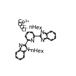 CCCCCCn1c(-c2cccc(-c3nc4ccccc4n3CCCCCC)n2)nc2ccccc21.[Cl-].[Cl-].[Cl-].[Co+3]